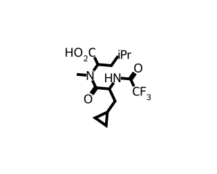 CC(C)CC(C(=O)O)N(C)C(=O)C(CC1CC1)NC(=O)C(F)(F)F